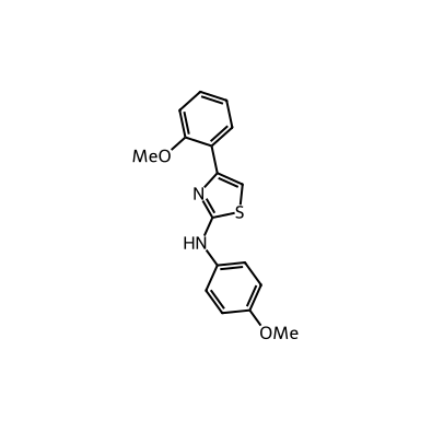 COc1ccc(Nc2nc(-c3ccccc3OC)cs2)cc1